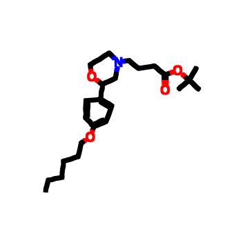 CCCCCCOc1ccc(C2CN(CCCC(=O)OC(C)(C)C)CCO2)cc1